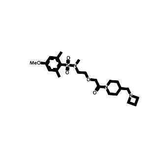 COc1cc(C)c(S(=O)(=O)N(C)CCOCC(=O)N2CCC(CN3CCC3)CC2)c(C)c1